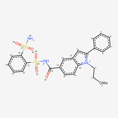 COCCn1c(-c2ccccc2)cc2cc(C(=O)NS(=O)(=O)c3ccccc3S(N)(=O)=O)ccc21